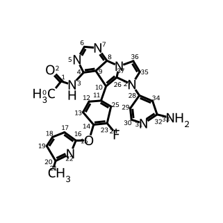 CC(=O)Nc1ncnc2c1c(-c1ccc(Oc3cccc(C)n3)c(F)c1)c1n(-c3ccnc(N)c3)ccn21